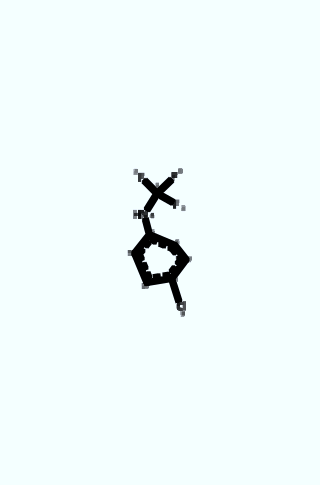 FC(F)(F)Nc1ccc(Cl)cc1